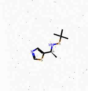 C[C@H](NSC(C)(C)C)c1cncs1